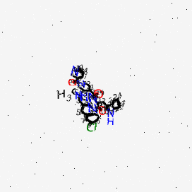 CN(C)CC1Cc2cc(Cl)ccc2N(C(=O)[C@@H](Cc2c[nH]c3ccccc23)NC(=O)C2CCN(C(=O)c3cccnc3)CC2)C1